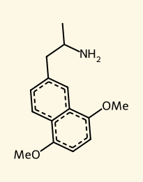 COc1ccc(OC)c2cc(CC(C)N)ccc12